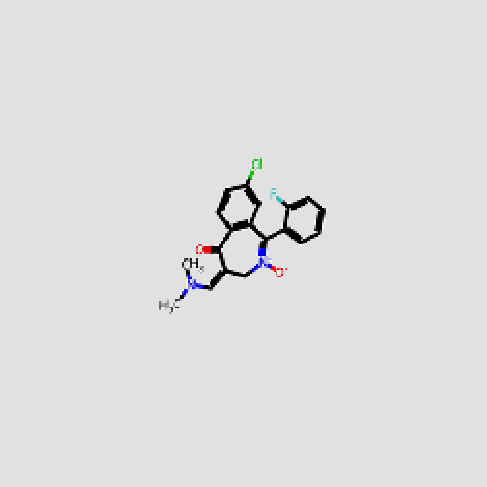 CN(C)C=C1C[N+]([O-])=C(c2ccccc2F)c2cc(Cl)ccc2C1=O